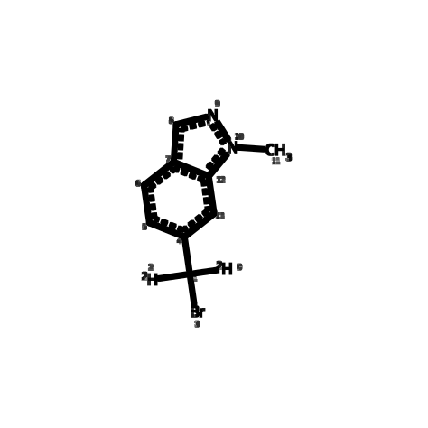 [2H]C([2H])(Br)c1ccc2cnn(C)c2c1